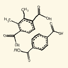 Cc1c(C(=O)O)ccc(C(=O)O)c1C.O=C(O)c1ccc(C(=O)O)cc1